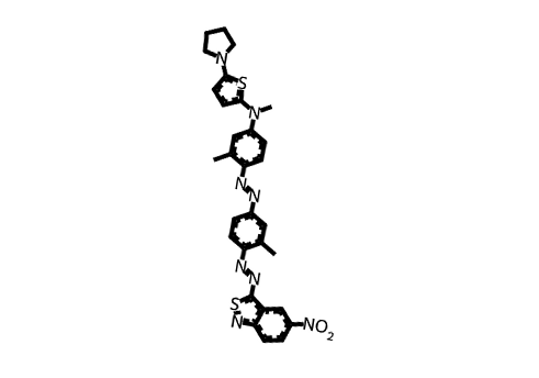 Cc1cc(N(C)c2ccc(N3CCCC3)s2)ccc1/N=N/c1ccc(/N=N/c2snc3ccc([N+](=O)[O-])cc23)c(C)c1